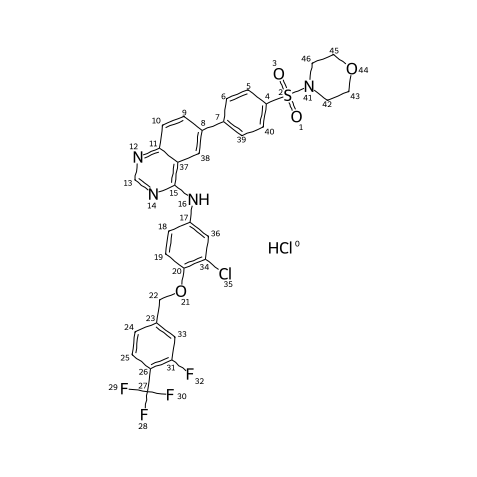 Cl.O=S(=O)(c1ccc(-c2ccc3ncnc(Nc4ccc(OCc5ccc(C(F)(F)F)c(F)c5)c(Cl)c4)c3c2)cc1)N1CCOCC1